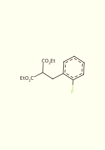 CCOC(=O)C(Cc1ccccc1F)C(=O)OCC